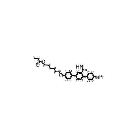 C=CC(=O)OCCCCCCOc1ccc(-c2ccc(-c3ccc(CCC)cc3)c(C=N)c2)cc1